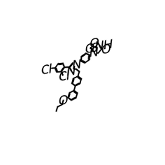 CCCOc1cccc(-c2ccc(Cc3nc(-c4ccc(Cl)cc4Cl)cn3-c3ccc(N4CC(=O)NS4(=O)=O)cc3)cc2)c1